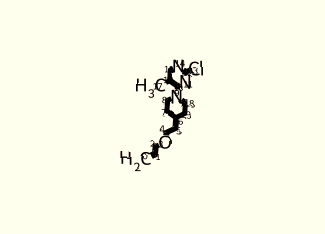 C=CCOCCC1CCN(c2nc(Cl)ncc2C)CC1